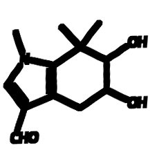 Cn1cc(C=O)c2c1C(C)(C)C(O)C(O)C2